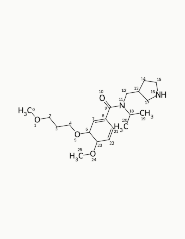 COCCCOC1C=C(C(=O)N(CC2CCNC2)C(C)C)C=CC1OC